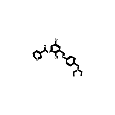 CCN(CC)Cc1ccc(N=Cc2cc(Br)cc(OC(=O)c3cccnc3)c2O)cc1